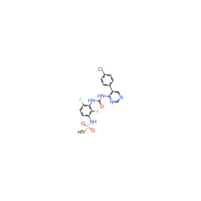 CCCS(=O)(=O)Nc1ccc(F)c(NC(=O)Nc2ncncc2-c2ccc(Cl)cc2)c1F